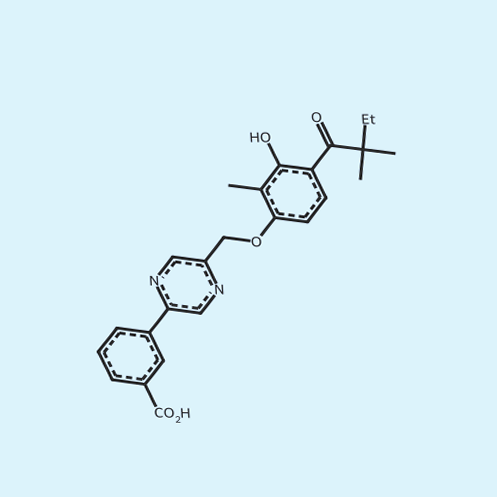 CCC(C)(C)C(=O)c1ccc(OCc2cnc(-c3cccc(C(=O)O)c3)cn2)c(C)c1O